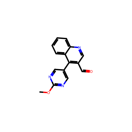 COc1ncc(-c2c(C=O)cnc3ccccc23)cn1